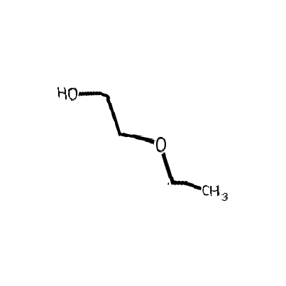 C[CH]OCCO